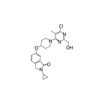 Cc1c(Cl)nc(CO)nc1N1CCC(Oc2ccc3c(c2)C(=O)N(C2CC2)C3)CC1